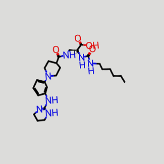 CCCCCCNC(=O)N[C@@H](CNC(=O)C1CCN(c2cccc(NC3=NCCCN3)c2)CC1)C(=O)O